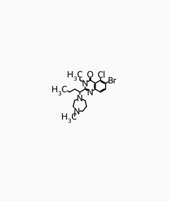 CCCC(c1nc2ccc(Br)c(Cl)c2c(=O)n1CC)N1CCCN(C)CC1